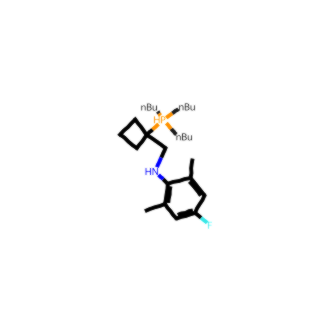 CCCC[PH](CCCC)(CCCC)C1(CNc2c(C)cc(F)cc2C)CCC1